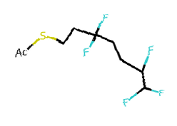 CC(=O)SCCC(F)(F)CCC(F)C(F)F